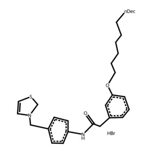 Br.CCCCCCCCCCCCCCCCOc1cccc(CC(=O)Nc2ccc(CN3C=CSC3)cc2)c1